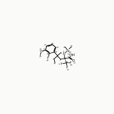 CCC(C)(CC(O[Si](C)(C)C)(C(=O)O)C(F)(F)F)c1cccc(OC)c1F